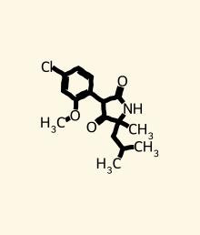 COc1cc(Cl)ccc1C1C(=O)NC(C)(CC(C)C)C1=O